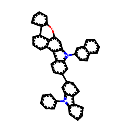 c1ccc(-n2c3ccccc3c3ccc(-c4ccc5c6c7cccc8c7c(cc6n(-c6ccc7ccccc7c6)c5c4)Oc4ccccc4-8)cc32)cc1